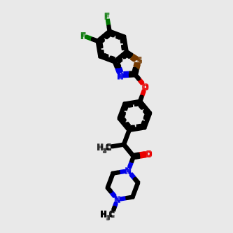 CC(C(=O)N1CCN(C)CC1)c1ccc(Oc2nc3cc(F)c(F)cc3s2)cc1